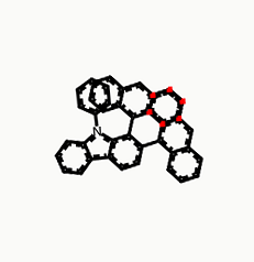 c1ccc(-n2c3ccccc3c3ccc(-c4c5ccccc5cc5ccccc45)c(-c4c5ccccc5cc5ccccc45)c32)cc1